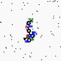 Nc1ncc(Br)n2c([C@@]3(C(=O)C4CC4)CCCNC3)nc(-c3ccc(C(=O)Nc4cc(C(F)(F)F)ccn4)cc3)c12